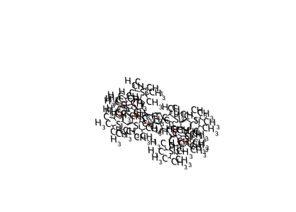 CC(C)[Si](c1cc2c(c([Si](C(C)C)(C(C)C)C(C)C)c1)B(c1c([Si](C(C)C)(C(C)C)C(C)C)cc([Si](C(C)C)(C(C)C)C(C)C)cc1[Si](C(C)C)(C(C)C)C(C)C)c1cc3ccc4c5c(cc6ccc(c1-2)c3c64)B(c1c([Si](C(C)C)(C(C)C)C(C)C)cc([Si](C(C)C)(C(C)C)C(C)C)cc1[Si](C(C)C)(C(C)C)C(C)C)c1c-5cc([Si](C(C)C)(C(C)C)C(C)C)cc1[Si](C(C)C)(C(C)C)C(C)C)(C(C)C)C(C)C